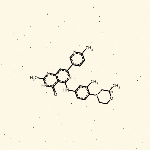 Cc1ccc(-c2cc3nc(C)[nH]c(=O)c3c(Nc3ccc(N4CCO[C@H](C)C4)c(C)c3)n2)cn1